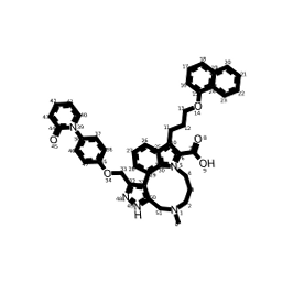 CN1CCCn2c(C(=O)O)c(CCCOc3cccc4ccccc34)c3cccc(c32)-c2c(COc3ccc(-n4ccccc4=O)cc3)n[nH]c2C1